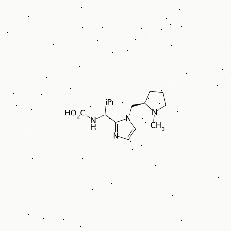 CC(C)C(NC(=O)O)c1nccn1C[C@H]1CCCN1C